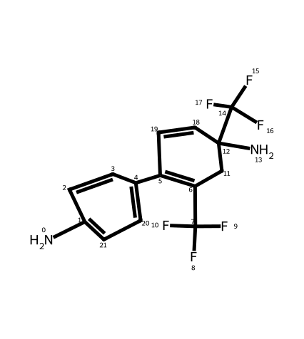 Nc1ccc(C2=C(C(F)(F)F)CC(N)(C(F)(F)F)C=C2)cc1